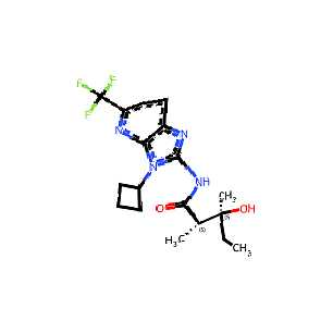 CC[C@](C)(O)[C@H](C)C(=O)Nc1nc2ccc(C(F)(F)F)nc2n1C1CCC1